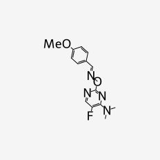 COc1ccc(C=NOc2ncc(F)c(N(C)C)n2)cc1